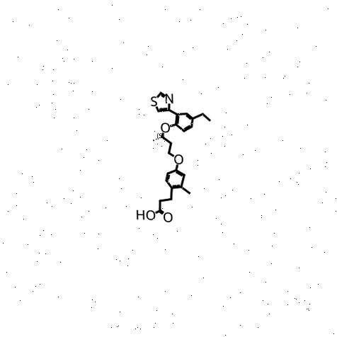 CCc1ccc(O[C@@H](C)CCOc2ccc(CCC(=O)O)c(C)c2)c(-c2cscn2)c1